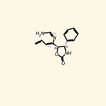 C=C/C=C(\N=C/N)[C@@H]1OC(=O)N[C@H]1c1ccccc1